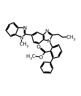 CCCc1nc2cc(-c3nc4ccccc4n3C)ccc2n1-c1cccc(-c2ccccc2)c1C(=O)OC